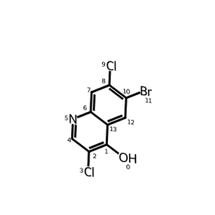 Oc1c(Cl)cnc2cc(Cl)c(Br)cc12